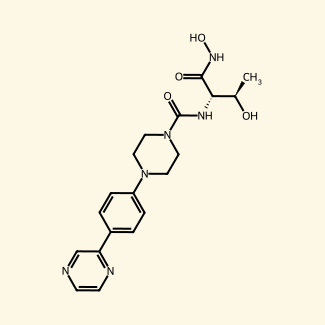 C[C@@H](O)[C@H](NC(=O)N1CCN(c2ccc(-c3cnccn3)cc2)CC1)C(=O)NO